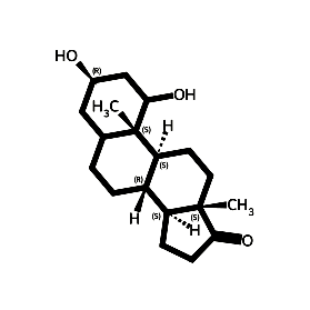 C[C@]12C(O)C[C@H](O)CC1CC[C@@H]1[C@@H]2CC[C@]2(C)C(=O)CC[C@@H]12